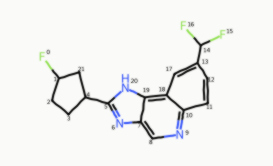 FC1CCC(c2nc3cnc4ccc(C(F)F)cc4c3[nH]2)C1